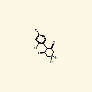 CCC1(CC)CC(=O)C(c2ccc(Cl)cc2Cl)C(=O)C1